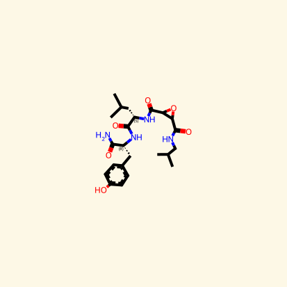 CC(C)CNC(=O)C1OC1C(=O)N[C@@H](CC(C)C)C(=O)N[C@H](Cc1ccc(O)cc1)C(N)=O